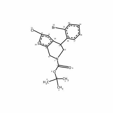 CC(C)(C)OC(=O)N1Cc2sc(Cl)cc2C(c2ccccc2Br)C1